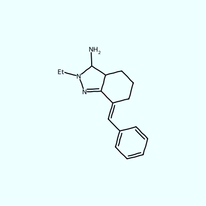 CCN1N=C2C(=Cc3ccccc3)CCCC2C1N